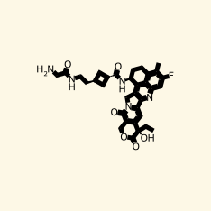 CC[C@@]1(O)C(=O)OCc2c1cc1n(c2=O)Cc2c-1nc1cc(F)c(C)c3c1c2[C@@H](NC(=O)[C@H]1C[C@H](CCNC(=O)CN)C1)CC3